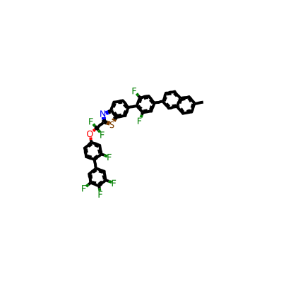 Cc1ccc2cc(-c3cc(F)c(-c4ccc5nc(C(F)(F)Oc6ccc(-c7cc(F)c(F)c(F)c7)c(F)c6)sc5c4)c(F)c3)ccc2c1